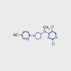 CN(c1nc(Cl)ncc1Cl)C1CCN(c2ccc(C#N)cn2)C1